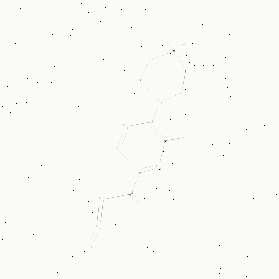 [N-]=[N+]=NC(=O)c1cnc(N2CCC(F)(F)CC2)c(Cl)n1